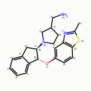 Cc1nc2cc(O[C@@H]3c4ccccc4C[C@H]3N3CCC(CN)C3)ccc2s1